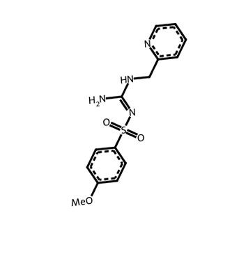 COc1ccc(S(=O)(=O)/N=C(\N)NCc2ccccn2)cc1